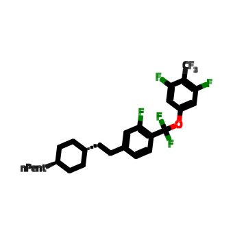 CCCCC[C@H]1CC[C@H](CCc2ccc(C(F)(F)Oc3cc(F)c(C(F)(F)F)c(F)c3)c(F)c2)CC1